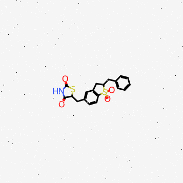 O=C1NC(=O)C(Cc2ccc3c(c2)CC(Cc2ccccc2)S3(=O)=O)S1